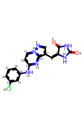 O=C1NC(=O)C(=Cc2cnn3ccc(Nc4cccc(Cl)c4)nc23)N1